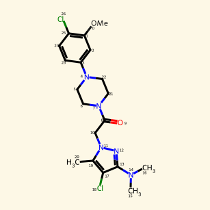 COc1cc(N2CCN(C(=O)Cn3nc(N(C)C)c(Cl)c3C)CC2)ccc1Cl